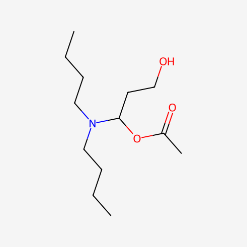 CCCCN(CCCC)C(CCO)OC(C)=O